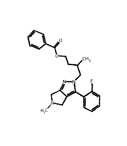 CC(CCOC(=O)c1ccccc1)Cn1nc2c(c1-c1ccccc1F)CN(C)C2